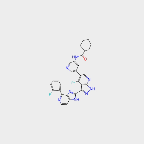 O=C(Nc1cncc(-c2cnc3[nH]nc(-c4nc5c(-c6ccccc6F)nccc5[nH]4)c3c2F)c1)C1CCCCC1